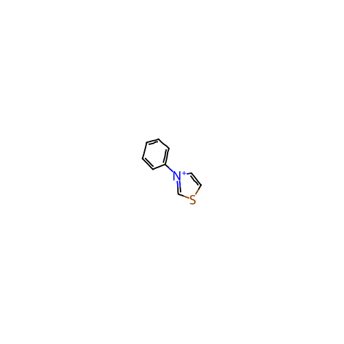 c1ccc(-[n+]2ccsc2)cc1